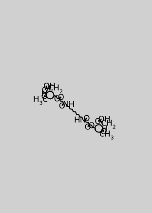 C=C(C(=O)O)[C@@H]1CC/C(COC(=O)CCC(=O)NCCCCCCCCCCNC(=O)CCC(=O)OC/C2=C/CC[C@@]3(C)O[C@H]3C[C@H](C(=C)C(=O)O)CC2)=C\CC[C@@]2(C)O[C@H]2C1